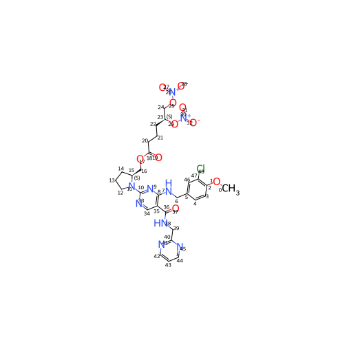 COc1ccc(CNc2nc(N3CCC[C@H]3COC(=O)CCC[C@@H](CO[N+](=O)[O-])O[N+](=O)[O-])ncc2C(=O)NCc2ncccn2)cc1Cl